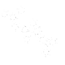 c1ccc(-c2cc(-c3ccccc3)cc(-c3cccc(-c4nc(-c5ccccc5)nc(-c5cccc6oc7cc(-c8ccc9c(c8)c8ccccc8n9-c8ccccc8)ccc7c56)n4)c3)c2)cc1